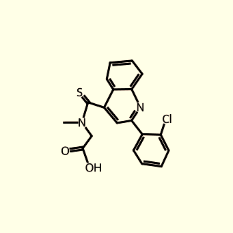 CN(CC(=O)O)C(=S)c1cc(-c2ccccc2Cl)nc2ccccc12